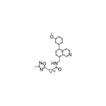 COc1cccc(-c2ccc(CNC(=O)[C@H]3CC3c3nc(C)no3)c3cnccc23)c1